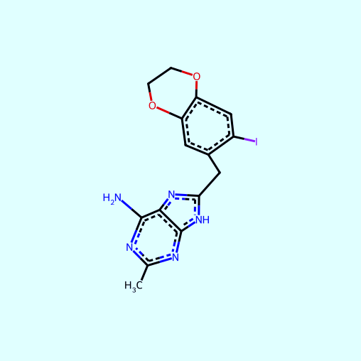 Cc1nc(N)c2nc(Cc3cc4c(cc3I)OCCO4)[nH]c2n1